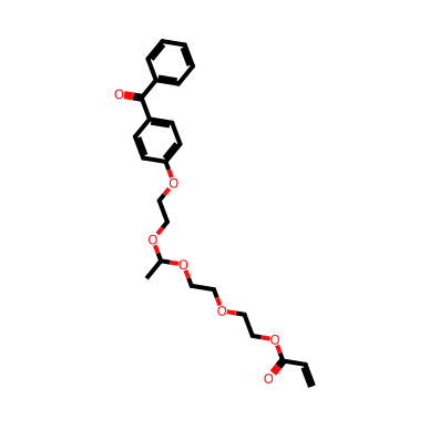 C=CC(=O)OCCOCCOC(C)OCCOc1ccc(C(=O)c2ccccc2)cc1